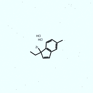 CC[C]1([Zr])C=Cc2cc(C)ccc21.Cl.Cl